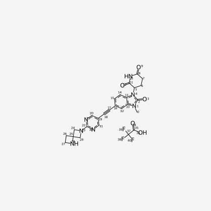 Cn1c(=O)n(C2CCC(=O)NC2=O)c2ccc(C#Cc3cnc(N4CC5(CCN5)C4)nc3)cc21.O=C(O)C(F)(F)F